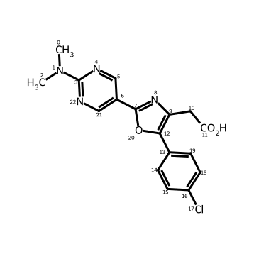 CN(C)c1ncc(-c2nc(CC(=O)O)c(-c3ccc(Cl)cc3)o2)cn1